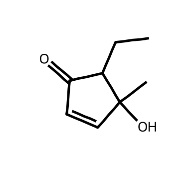 CCC1C(=O)C=CC1(C)O